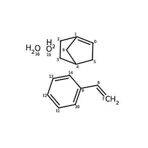 C1=C2CCC(C1)C2.C=Cc1ccccc1.O.O